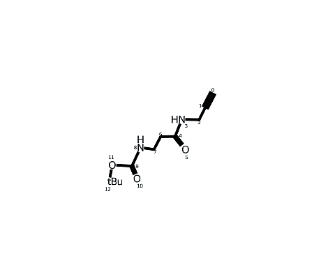 C#CCNC(=O)CCNC(=O)OC(C)(C)C